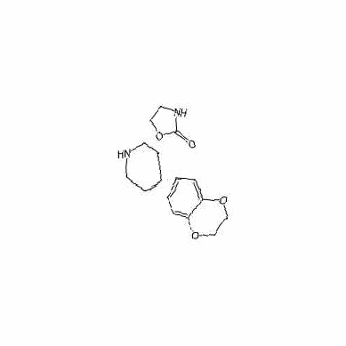 C1CCNCC1.O=C1NCCO1.c1ccc2c(c1)OCCO2